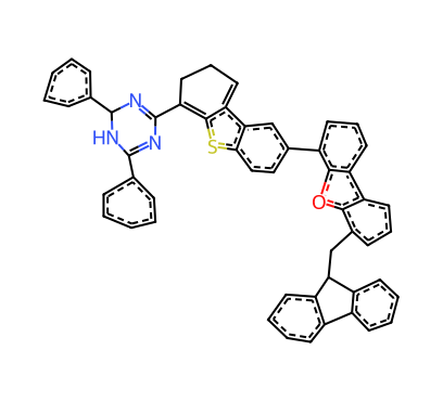 C1=c2c(sc3ccc(-c4cccc5c4oc4c(CC6c7ccccc7-c7ccccc76)cccc45)cc23)=C(C2=NC(c3ccccc3)NC(c3ccccc3)=N2)CC1